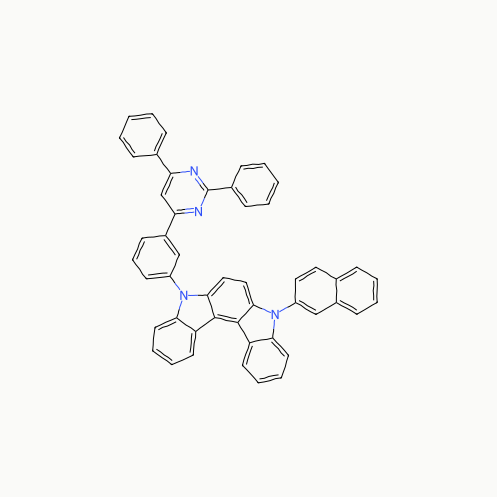 c1ccc(-c2cc(-c3cccc(-n4c5ccccc5c5c6c7ccccc7n(-c7ccc8ccccc8c7)c6ccc54)c3)nc(-c3ccccc3)n2)cc1